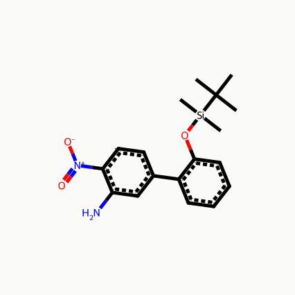 CC(C)(C)[Si](C)(C)Oc1ccccc1-c1c[c]c([N+](=O)[O-])c(N)c1